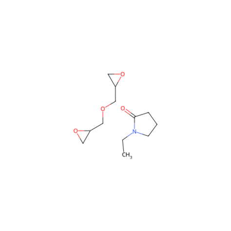 C(OCC1CO1)C1CO1.CCN1CCCC1=O